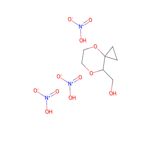 O=[N+]([O-])O.O=[N+]([O-])O.O=[N+]([O-])O.OCC1OCCOC12CC2